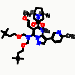 CCOC=Cc1c(C2C[C@H]3CC[C@@H](C2)N3C(=O)OC(C)(C)C)nc2c(-c3ccc(C=O)nc3)cnn2c1N(COCC[Si](C)(C)C)COCC[Si](C)(C)C